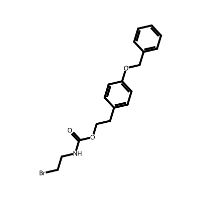 O=C(NCCBr)OCCc1ccc(OCc2ccccc2)cc1